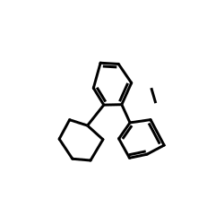 CC.c1ccc(-c2ccccc2C2CCCCC2)cc1